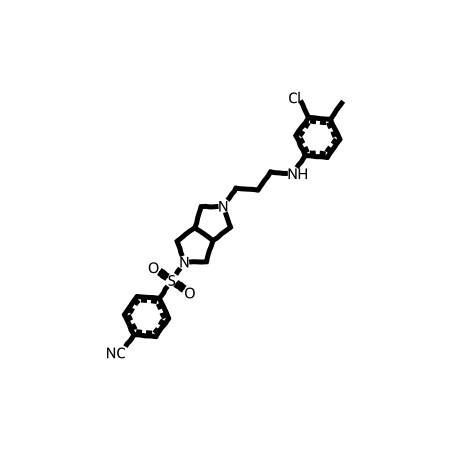 Cc1ccc(NCCCN2CC3CN(S(=O)(=O)c4ccc(C#N)cc4)CC3C2)cc1Cl